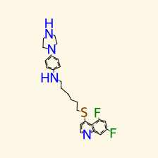 Fc1cc(F)c2c(SCCCCCCNc3ccc(N4CCNCC4)cc3)ccnc2c1